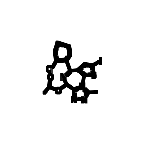 CC(=O)OC1N=C(c2ccccc2Cl)c2cc(I)sc2-n2c(C)nnc21